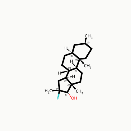 C[C@H]1CC[C@@]2(C)[C@@H](CC[C@@H]3[C@@H]2CC[C@@]2(C)[C@H]3C[C@@](C)(F)[C@H]2O)C1